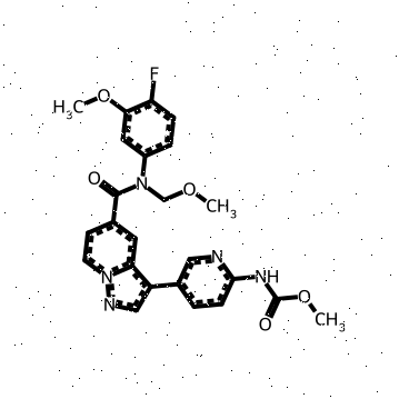 COCN(C(=O)c1ccn2ncc(-c3ccc(NC(=O)OC)nc3)c2c1)c1ccc(F)c(OC)c1